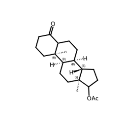 CC(=O)OC1CC[C@H]2[C@@H]3CCC4C(=O)CCC[C@]4(C)[C@@H]3CC[C@]12C